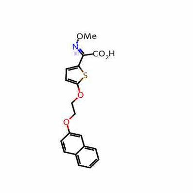 CO/N=C(\C(=O)O)c1ccc(OCCOc2ccc3ccccc3c2)s1